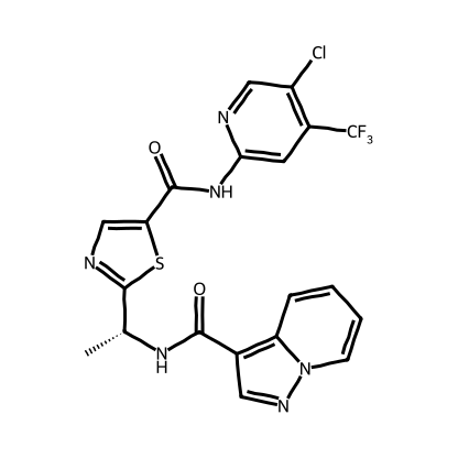 C[C@@H](NC(=O)c1cnn2ccccc12)c1ncc(C(=O)Nc2cc(C(F)(F)F)c(Cl)cn2)s1